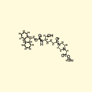 CC(C)(C)OC(=O)CN1CCN(C(=O)CCC[C@H](CO)NC(=O)OCC2c3ccccc3-c3ccccc32)CC1